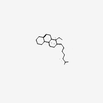 CC(C)[C@H](O)CC[C@@H](C)[C@H]1CC[C@H]2[C@@H]3CC=C4C[C@@H](O)CC[C@]4(C)[C@H]3CC[C@]12C